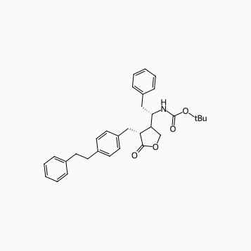 CC(C)(C)OC(=O)N[C@@H](Cc1ccccc1)C1COC(=O)[C@@H]1Cc1ccc(CCc2ccccc2)cc1